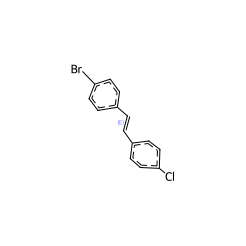 Clc1ccc(/C=C/c2ccc(Br)cc2)cc1